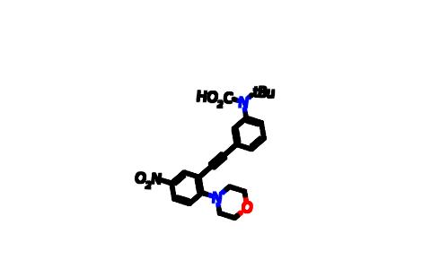 CC(C)(C)N(C(=O)O)c1cccc(C#Cc2cc([N+](=O)[O-])ccc2N2CCOCC2)c1